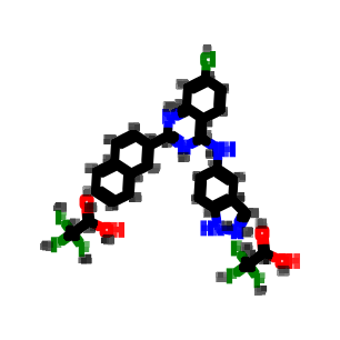 Clc1ccc2c(Nc3ccc4[nH]ncc4c3)nc(-c3ccc4ccccc4c3)nc2c1.O=C(O)C(F)(F)F.O=C(O)C(F)(F)F